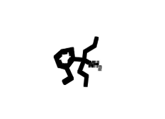 C=Cc1ccccc1C(N)(CCC)CCC